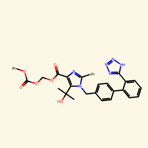 CCCc1nc(C(=O)OCOC(=O)OC(C)C)c(C(C)(C)O)n1Cc1ccc(-c2ccccc2-c2nnn[nH]2)cc1